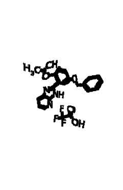 CC(C)Oc1ccc(OCc2ccccc2)cc1-c1nc2cccnc2[nH]1.O=C(O)C(F)(F)F